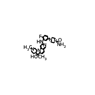 CN1CCC([C@@](C)(O)c2ccc3cnc(Nc4cc(N5CCN(C(N)=O)CC5)ccc4F)cc3n2)CC1